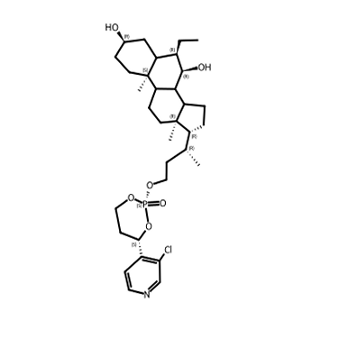 CC[C@@H]1C2C[C@H](O)CC[C@]2(C)C2CC[C@@]3(C)C(CC[C@@H]3[C@H](C)CCO[P@@]3(=O)OCC[C@@H](c4ccncc4Cl)O3)C2[C@@H]1O